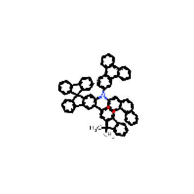 CC1(C)c2ccccc2-c2ccc(-c3cc4c(cc3N(c3ccc5c(ccc6ccccc65)c3)c3ccc5c6ccccc6c6ccccc6c5c3)C3(c5ccccc5-c5ccccc53)c3ccccc3-4)cc21